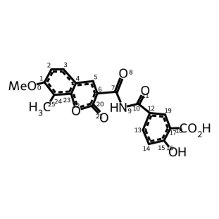 COc1ccc2cc(C(=O)NC(=O)c3ccc(O)c(C(=O)O)c3)c(=O)oc2c1C